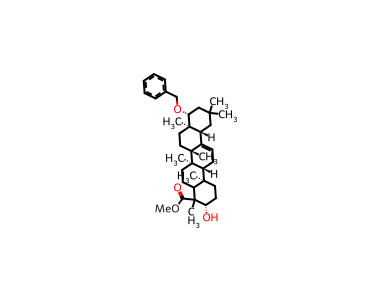 COC(=O)C1(C)C2CC[C@]3(C)[C@H](CC=C4[C@H]5CC(C)(C)C[C@@H](OCc6ccccc6)[C@]5(C)CC[C@]43C)[C@@]2(C)CC[C@@H]1O